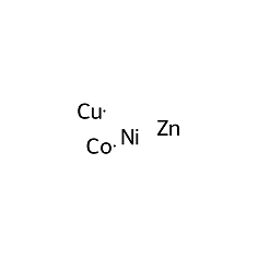 [Co].[Cu].[Ni].[Zn]